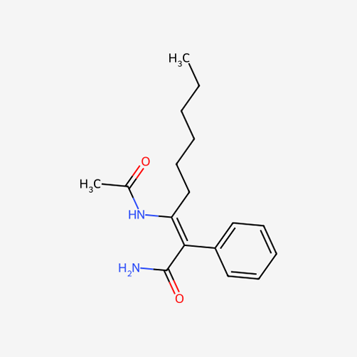 CCCCCC/C(NC(C)=O)=C(/C(N)=O)c1ccccc1